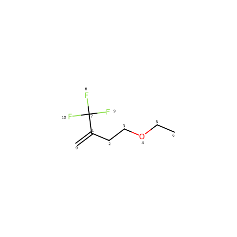 C=C(CCOCC)C(F)(F)F